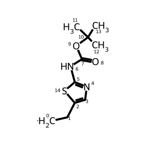 [CH2]Cc1cnc(NC(=O)OC(C)(C)C)s1